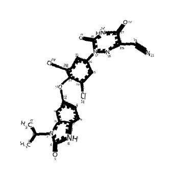 CC(C)n1c(=O)[nH]c2ccc(Oc3c(Cl)cc(-n4nc(C#N)c(=O)[nH]c4=O)cc3Cl)cc21